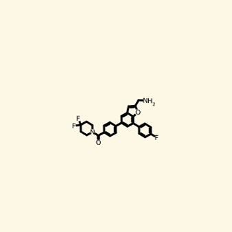 NCc1cc2cc(-c3ccc(C(=O)N4CCC(F)(F)CC4)cc3)cc(-c3ccc(F)cc3)c2o1